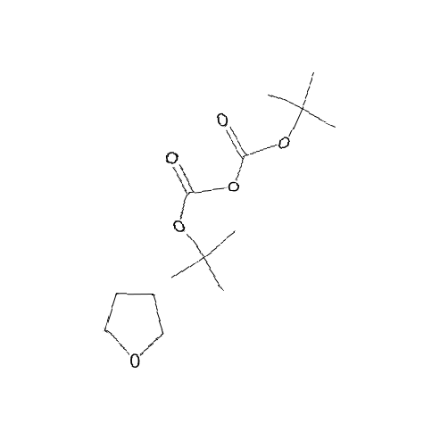 C1CCOC1.CC(C)(C)OC(=O)OC(=O)OC(C)(C)C